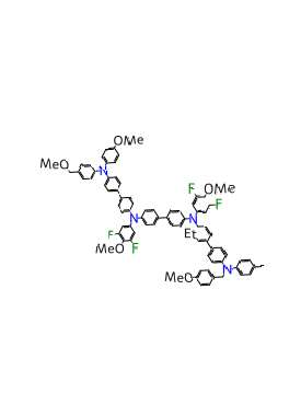 CC/C=C(\C=C/CN(C(/C=C(/F)COC)=C/CF)c1ccc(-c2ccc(N(c3ccc(-c4ccc(N(c5ccc(COC)cc5)c5ccc(OC)cc5)cc4)cc3)c3cc(F)c(OC)c(F)c3)cc2)cc1)c1ccc(N(Cc2ccc(OC)cc2)c2ccc(C)cc2)cc1